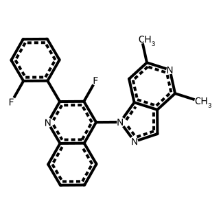 Cc1cc2c(cnn2-c2c(F)c(-c3ccccc3F)nc3ccccc23)c(C)n1